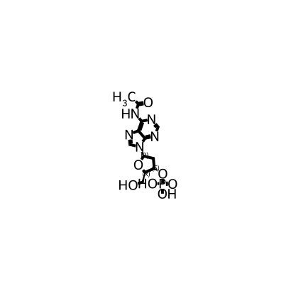 CC(=O)Nc1ncnc2c1ncn2[C@H]1C[C@H](OP(=O)(O)O)[C@@H](CO)O1